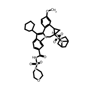 COc1ccc2c(c1)C1CC1(S(=O)(=O)N1C3CC1CN(C)C3)Cn1c-2c(C2CCCCC2)c2ccc(C(=O)NS(=O)(=O)N3CCOCC3)cc21